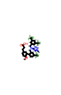 COc1ccc(CCC(=O)O)cc1-c1ccc(C(F)(F)F)cc1CN(Cc1cc(C(F)(F)F)cc(C(F)(F)F)c1)c1nnn(C)n1